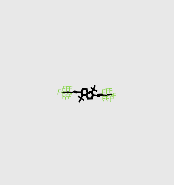 CC(C)(C)c1c(C#CC(F)(F)C(F)(F)C(F)(F)F)ccc2c(C(C)(C)C)c(C#CC(F)(F)C(F)(F)C(F)(F)F)ccc12